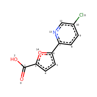 O=C(O)c1ccc(-c2ccc(Cl)cn2)o1